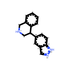 c1ccc2c(c1)CNCC2c1ccc2[nH]ncc2c1